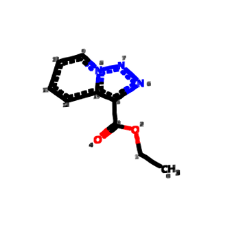 CCOC(=O)c1nnn2ccccc12